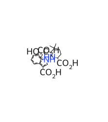 CC1(C)CCC(C(=O)O)NC1C(=O)O.O=C(O)c1c[nH]c2c(C(=O)O)cccc12